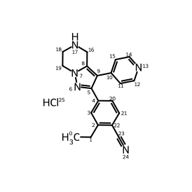 CCc1cc(-c2nn3c(c2-c2ccncc2)CNCC3)ccc1C#N.Cl